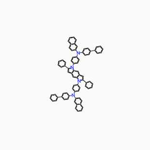 c1ccc(-c2ccc(N(c3ccc(-n4c(-c5ccccc5)cc5cc6c(cc(-c7ccccc7)n6-c6ccc(N(c7ccc(-c8ccccc8)cc7)c7ccc8ccccc8c7)cc6)cc54)cc3)c3ccc4ccccc4c3)cc2)cc1